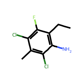 CCc1c(N)c(Cl)c(C)c(Cl)c1F